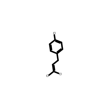 ClC(Cl)=CCc1ccc(Cl)cc1